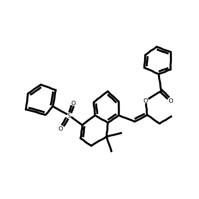 CC/C(=C/c1cccc2c1C(C)(C)CC=C2S(=O)(=O)c1ccccc1)OC(=O)c1ccccc1